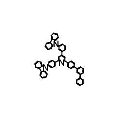 c1ccc(-c2cccc(-c3ccc(-c4cc(-c5cccc(-n6c7ccccc7c7ccccc76)c5)cc(-c5ccc(-n6c7ccccc7c7ccccc76)cc5)n4)cc3)c2)cc1